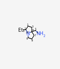 CCC1CCC2(CN)CCCN12